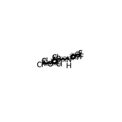 FC(F)(F)Oc1ccc(NCCCCOc2c(Cl)cc(OCC=C(Cl)Cl)cc2Cl)cc1